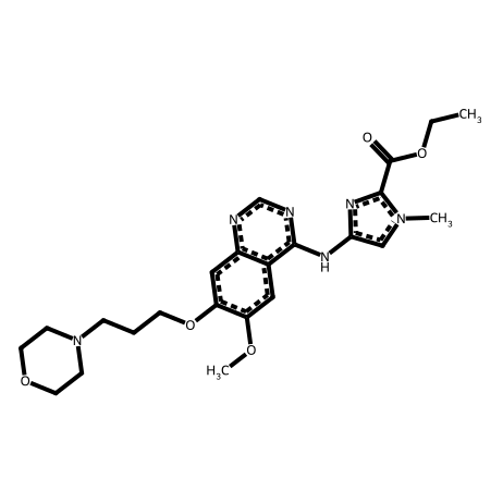 CCOC(=O)c1nc(Nc2ncnc3cc(OCCCN4CCOCC4)c(OC)cc23)cn1C